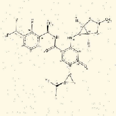 C[C@@H](NC(=O)c1cn([C@@H]2C[C@H]2C(F)F)c(=O)cc1NC1[C@H]2CN(C)C[C@@H]12)c1cccc(C(F)F)c1F